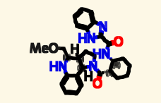 COC[C@@H]1Nc2ccccc2[C@H]2[C@H]1CCN2C(=O)[C@H]1CCCC[C@H]1NC(=O)c1nc2ccccc2[nH]1